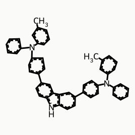 Cc1cccc(N(c2ccccc2)c2ccc(-c3ccc4[nH]c5ccc(-c6ccc(N(c7ccccc7)c7cccc(C)c7)cc6)cc5c4c3)cc2)c1